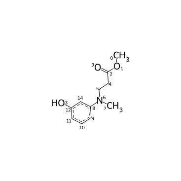 COC(=O)CCN(C)c1cccc(O)c1